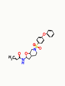 C=CC(=O)NC1CC2CCN(S(=O)(=O)c3ccc(Oc4ccccc4)cc3)CC2O1